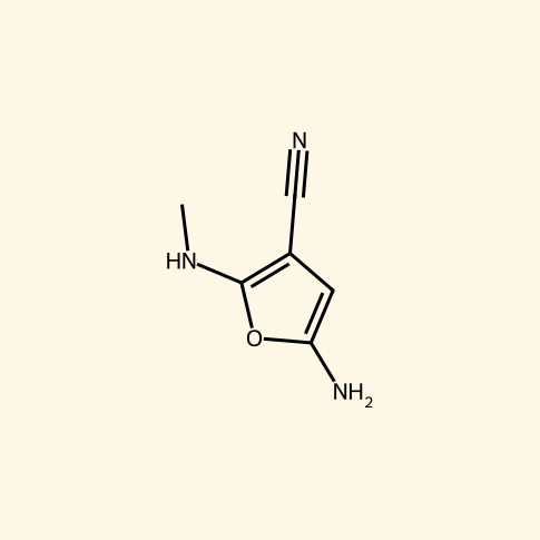 CNc1oc(N)cc1C#N